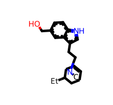 CCC1CC2C=CC1N(CCc1c[nH]c3ccc(CO)cc13)C2